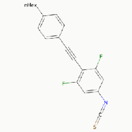 CCCCCCc1ccc(C#Cc2c(F)cc(N=C=S)cc2F)cc1